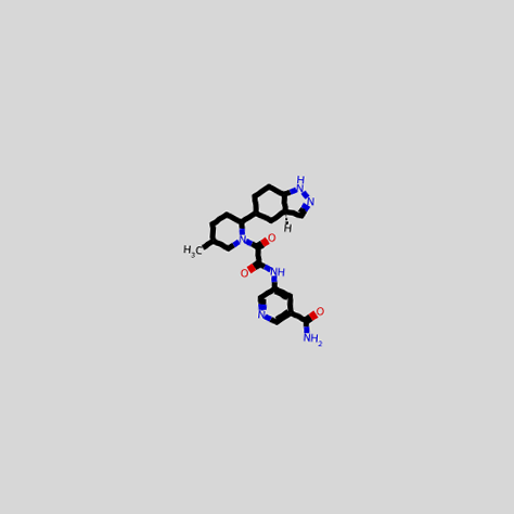 CC1CCC(C2CCC3NN=C[C@H]3C2)N(C(=O)C(=O)Nc2cncc(C(N)=O)c2)C1